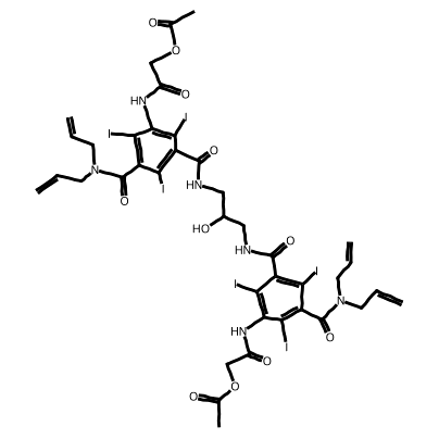 C=CCN(CC=C)C(=O)c1c(I)c(NC(=O)COC(C)=O)c(I)c(C(=O)NCC(O)CNC(=O)c2c(I)c(NC(=O)COC(C)=O)c(I)c(C(=O)N(CC=C)CC=C)c2I)c1I